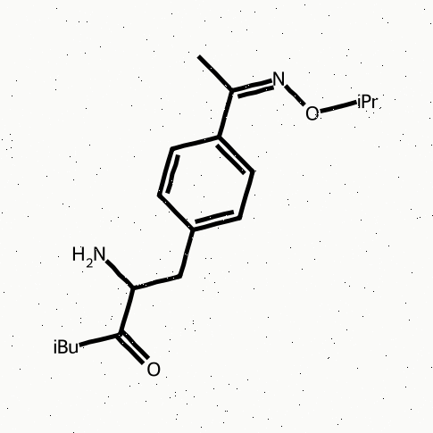 CCC(C)C(=O)C(N)Cc1ccc(/C(C)=N\OC(C)C)cc1